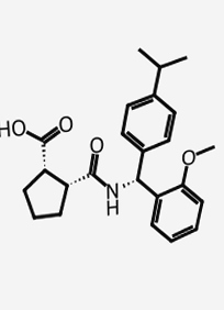 COc1ccccc1[C@H](NC(=O)[C@@H]1CCC[C@@H]1C(=O)O)c1ccc(C(C)C)cc1